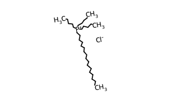 CCCCCCCCCCCCCCCCCC[P+](CCCCC)(CCCCC)CCCCC.[Cl-]